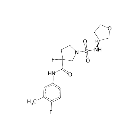 Cc1cc(NC(=O)C2(F)CCN(S(=O)(=O)N[C@H]3CCOC3)C2)ccc1F